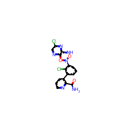 NC(=O)c1ncccc1-c1cccc(-n2o[nH]c3nc(Cl)cnc3o2)c1Cl